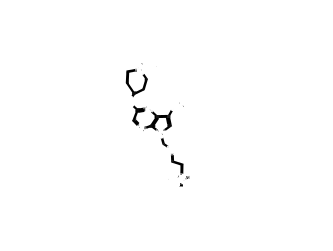 C[Si](C)(C)CCOCn1cc(C#N)c2nc(OC3CCN(C(=O)O)CC3)cnc21